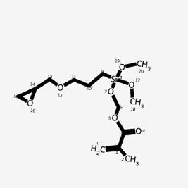 C=C(C)C(=O)OCO[Si](CCCOCC1CO1)(OC)OC